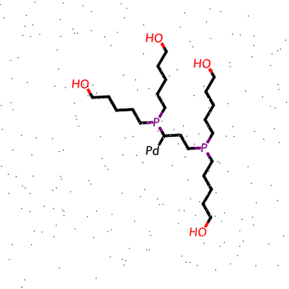 OCCCCCP(CCCCCO)CC[CH]([Pd])P(CCCCCO)CCCCCO